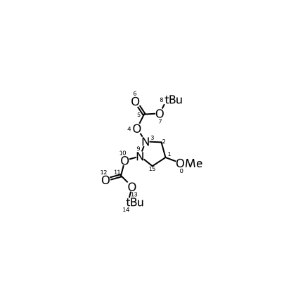 COC1CN(OC(=O)OC(C)(C)C)N(OC(=O)OC(C)(C)C)C1